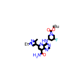 CCn1cc(-c2cc(C(N)=O)c3ncnc(N[C@H]4C[C@H](F)CN(C(=O)OC(C)(C)C)C4)c3n2)c(C)n1